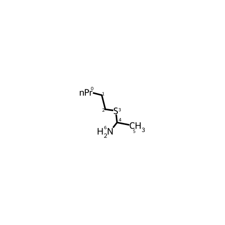 CCCCCSC(C)N